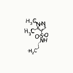 [CH2]CCNS(=O)(=O)c1cnn(C)c1C